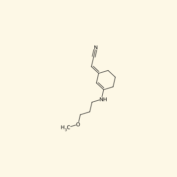 COCCCNC1=C/C(=C/C#N)CCC1